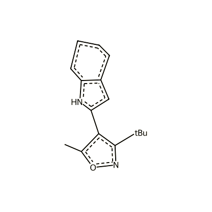 Cc1onc(C(C)(C)C)c1-c1cc2ccccc2[nH]1